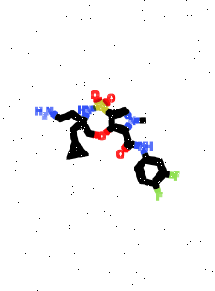 Cn1cc2c(c1C(=O)Nc1ccc(F)c(F)c1)OCC(CCN)(CC1CC1)NS2(=O)=O